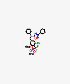 CC(C)(C)OP(=O)(OC(C)(C)C)C(F)(F)c1ccc(CC(c2ccccc2)c2nc(-c3ccccc3)no2)cc1Br